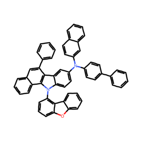 c1ccc(-c2ccc(N(c3ccc4ccccc4c3)c3ccc4c(c3)c3c(-c5ccccc5)cc5ccccc5c3n4-c3cccc4oc5ccccc5c34)cc2)cc1